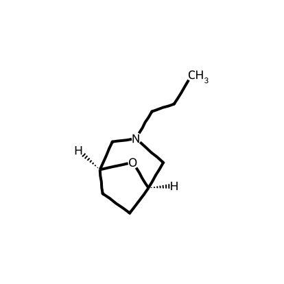 CCCN1C[C@H]2CC[C@@H](C1)O2